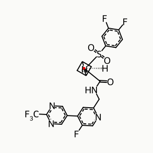 O=C(NCc1cc(-c2cnc(C(F)(F)F)nc2)c(F)cn1)[C@@H]1C2CC(C2)N1S(=O)(=O)c1ccc(F)c(F)c1